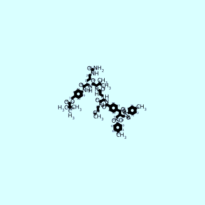 COCCNC(=O)[C@H](CCC(=O)N[C@H](C(=O)N[C@@H](CCCNC(N)=O)C(=O)Nc1ccc(COC(=O)C(C)(C)C)cc1)C(C)C)NC(=O)c1ccc(C(=O)C(CS(=O)(=O)c2ccc(C)cc2)CS(=O)(=O)c2ccc(C)cc2)cc1